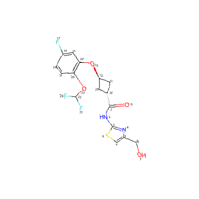 O=C(Nc1nc(CO)cs1)[C@H]1C[C@H](Oc2cc(F)ccc2OC(F)F)C1